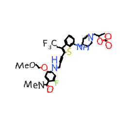 CNC(=O)c1cc(OCCOC)c(NCC#Cc2sc3c(NC4CCN(CC5COC(=O)O5)CC4)cccc3c2CC(F)(F)F)cc1F